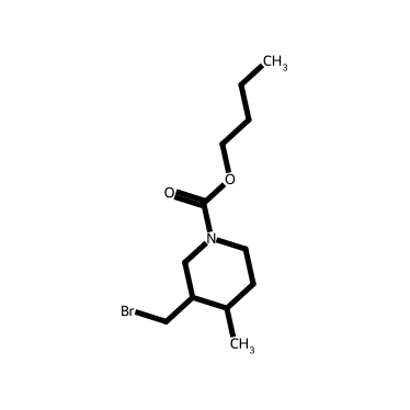 CCCCOC(=O)N1CCC(C)C(CBr)C1